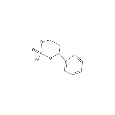 CC(C)P1(=O)OCCC(c2ccccc2)O1